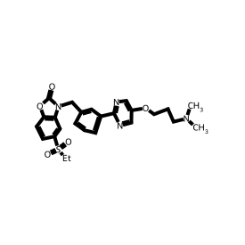 CCS(=O)(=O)c1ccc2oc(=O)n(Cc3cccc(-c4ncc(OCCCN(C)C)cn4)c3)c2c1